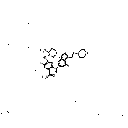 NC(=O)c1cc(F)c(NC2CCCCC2N)nc1Nc1cc(F)c2c(ccn2CCN2CCOCC2)c1